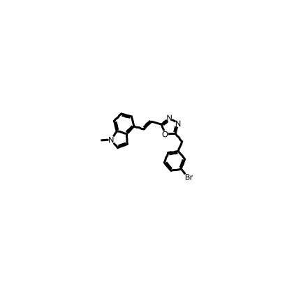 Cn1ccc2c(/C=C/c3nnc(Cc4cccc(Br)c4)o3)cccc21